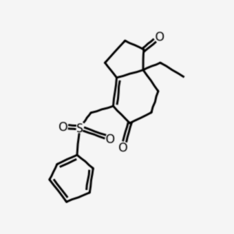 CCC12CCC(=O)C(CS(=O)(=O)c3ccccc3)=C1CCC2=O